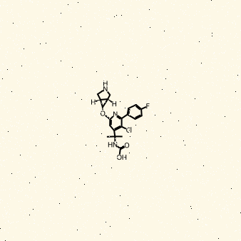 CC(C)(NC(=O)O)c1cc(O[C@@H]2[C@@H]3CNC[C@@H]32)nc(-c2ccc(F)cc2)c1Cl